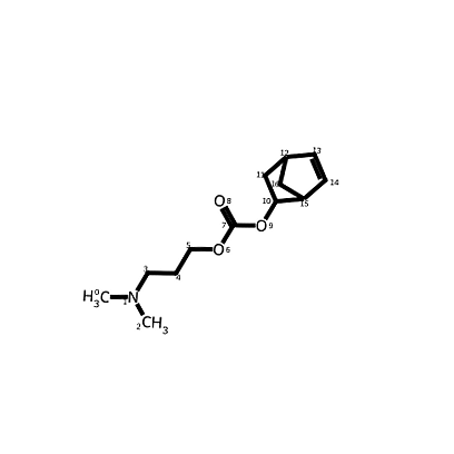 CN(C)CCCOC(=O)OC1CC2C=CC1C2